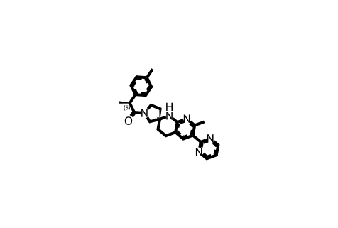 Cc1ccc([C@H](C)C(=O)N2CC[C@@]3(CCc4cc(-c5ncccn5)c(C)nc4N3)C2)cc1